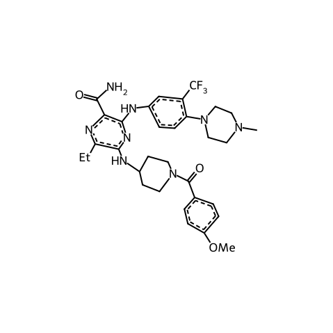 CCc1nc(C(N)=O)c(Nc2ccc(N3CCN(C)CC3)c(C(F)(F)F)c2)nc1NC1CCN(C(=O)c2ccc(OC)cc2)CC1